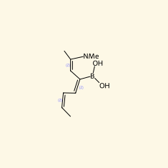 C\C=C/C=C(\C=C(\C)NC)B(O)O